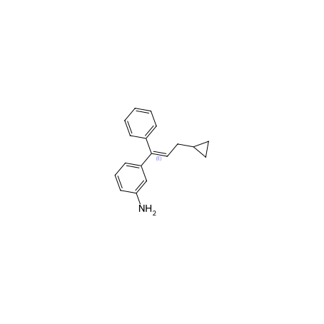 Nc1cccc(/C(=C/CC2CC2)c2ccccc2)c1